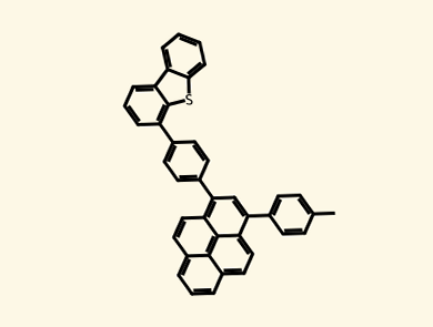 Cc1ccc(-c2cc(-c3ccc(-c4cccc5c4sc4ccccc45)cc3)c3ccc4cccc5ccc2c3c54)cc1